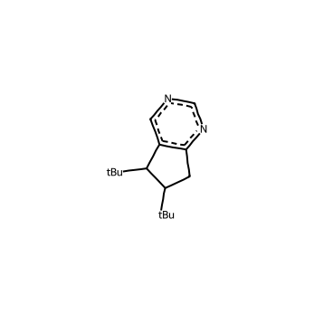 CC(C)(C)C1Cc2ncncc2C1C(C)(C)C